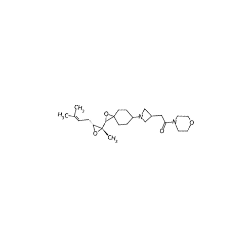 CC(C)=CC[C@H]1O[C@@]1(C)C1OC12CCC(N1CC(CC(=O)N3CCOCC3)C1)CC2